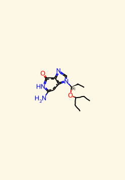 CCC(CC)O[C@H](CC)n1cnc2c(=O)[nH]c(N)cc21